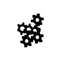 O=C(CCC1CCCCN1C(=O)c1ccccc1-c1ccccc1)c1ccccc1